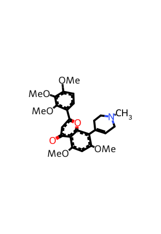 COc1ccc(-c2cc(=O)c3c(OC)cc(OC)c(C4=CCN(C)CC4)c3o2)c(OC)c1OC